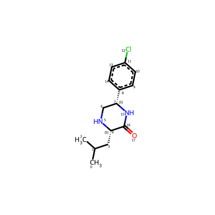 CC(C)C[C@@H]1NC[C@H](c2ccc(Cl)cc2)NC1=O